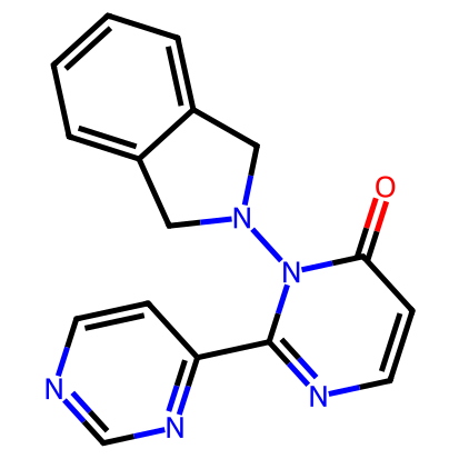 O=c1ccnc(-c2ccncn2)n1N1Cc2ccccc2C1